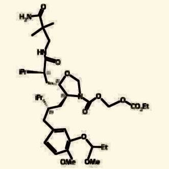 CCOC(=O)OCOC(=O)N1CO[C@@H](C[C@H](C(=O)NCC(C)(C)C(N)=O)C(C)C)[C@@H]1C[C@H](Cc1ccc(OC)c(OC(CC)OC)c1)C(C)C